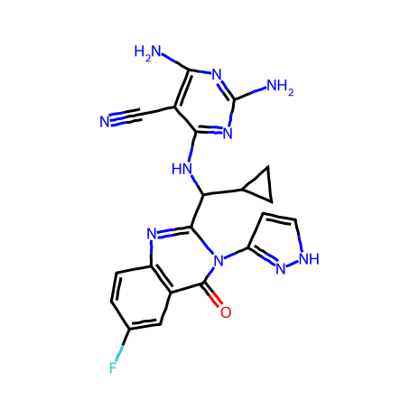 N#Cc1c(N)nc(N)nc1NC(c1nc2ccc(F)cc2c(=O)n1-c1cc[nH]n1)C1CC1